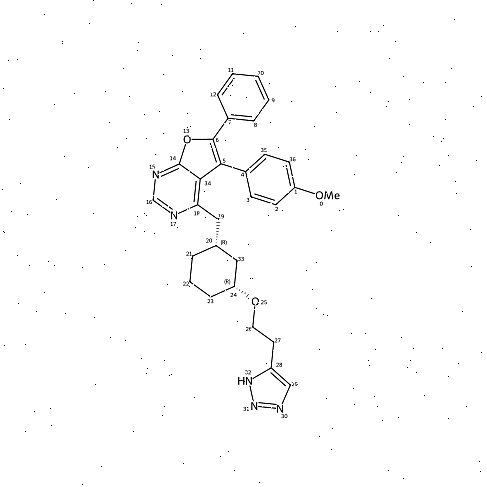 COc1ccc(-c2c(-c3ccccc3)oc3ncnc(C[C@H]4CCC[C@@H](OCCc5cnn[nH]5)C4)c23)cc1